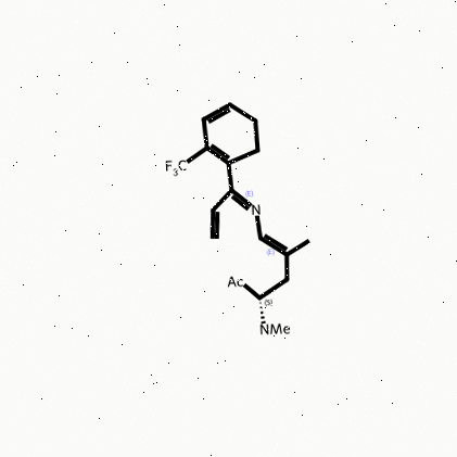 C=C/C(=N\C=C(/C)C[C@H](NC)C(C)=O)C1=C(C(F)(F)F)C=CCC1